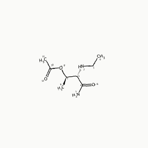 CCN[C@H](C(N)=O)[C@@H](C)OC(C)=O